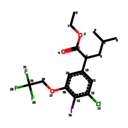 CCOC(=O)C(CC(C)C)c1cc(Cl)c(I)c(OCC(F)(F)F)c1